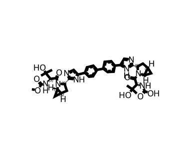 COC(=O)N[C@H](C(=O)N1[C@H](c2ncc(-c3ccc(-c4ccc(-c5cnc([C@@H]6C[C@@H]7C[C@@H]7N6C(=O)[C@@H](NC(=O)O)C(C)(C)O)[nH]5)cc4)cc3)[nH]2)C[C@H]2C[C@@H]21)C(C)(C)O